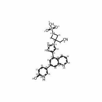 CS(=O)(=O)N1CC(CC#N)(n2cc(-c3cc(-c4ccc(=O)[nH]c4)cc4ncccc34)nn2)C1